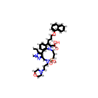 CCc1c2c(nn1C)CN(CCCN1CCOCC1)S(=O)(=O)CCCn1c(C(=O)O)c(CCCOc3cccc4ccccc34)c3cccc-2c31